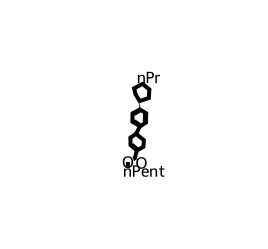 CCCCCOC(=O)C1=CCC(c2ccc([C@H]3CC[C@H](CCC)CC3)cc2)CC1